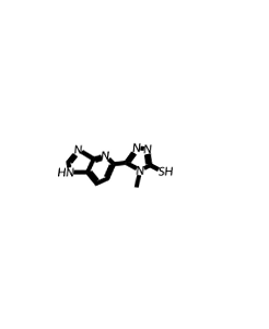 Cn1c(S)nnc1-c1ccc2[nH]cnc2n1